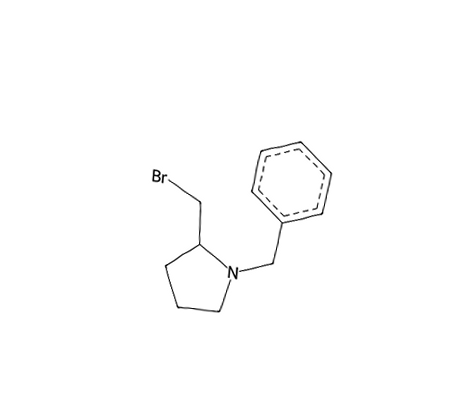 BrCC1CCCN1Cc1ccccc1